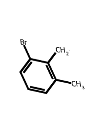 [CH2]c1c(C)cccc1Br